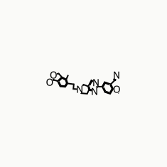 COc1ccc(-c2ncc3c(n2)CCN(CCc2ccc4c(c2C)COC4=O)C3)cc1C#N